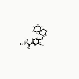 O=C(NO)c1ccc(CN2CCCC3(CCCCC3)C2)c(F)c1